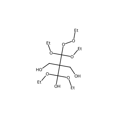 CCOOC(OCC)(OCC)C(CO)(CO)C(O)(OCC)OCC